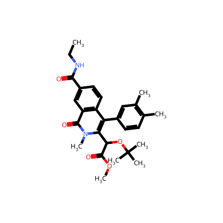 CCNC(=O)c1ccc2c(-c3ccc(C)c(C)c3)c(C(OC(C)(C)C)C(=O)OC)n(C)c(=O)c2c1